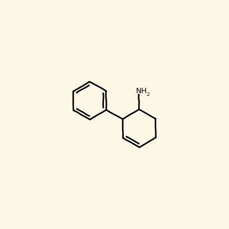 NC1CCC=CC1c1ccccc1